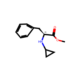 COC(=O)[C@H](Cc1ccccc1)NC1CC1